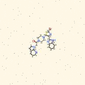 O=C(Cn1ccc2cccnc21)N1CCN(c2sc(Br)nc2-c2nc3ccccc3[nH]2)CC1